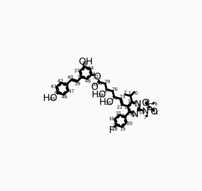 CC(C)c1nc(N(C)S(C)(=O)=O)nc(-c2ccc(F)cc2)c1/C=C/[C@H](O)C[C@@H](O)CC(=O)Oc1cc(O)cc(/C=C/c2ccc(O)cc2)c1